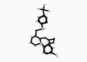 FC(F)(F)c1ccc(OCC2CCCN(c3ccc(Cl)cc3)C2CC2CCC2)cc1